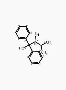 CC(C)[C@@H](S)C(O)(c1ccccc1)c1ccccc1